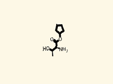 C[C@@H](O)[C@H](N)C(=O)OC1CCCC1